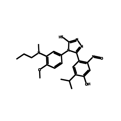 CCCN(C)c1cc(-n2c(S)nnc2-c2cc(C(C)C)c(O)cc2N=O)ccc1OC